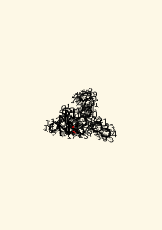 C1=CCN2C(=C1)N(c1ccccc1)C(c1ncccn1)=C2c1c2ccccc2c(-c2ccc3ccccc3c2)c2cc3c(cc12)-c1ccccc1C3